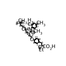 CCOC(Cc1ccc(OCCN(CCOCCC(C)(F)F)C(=O)Nc2c(C)cc(C)cc2C)cc1)C(=O)O